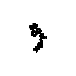 OC(CNC1CCN(c2ncnc3scc(-c4ccccc4)c23)CC1)COc1ccc(OC(F)(F)F)cc1